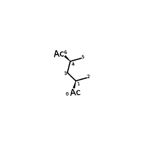 CC(=O)[C@H](C)C[C@H](C)C(C)=O